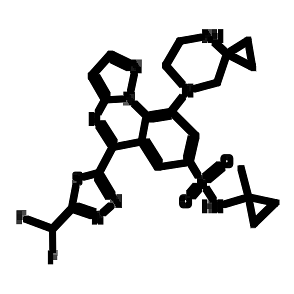 CC1(NS(=O)(=O)c2cc(N3CCNC4(CC4)C3)c3c(c2)c(-c2nnc(C(F)F)s2)nc2ccnn23)CC1